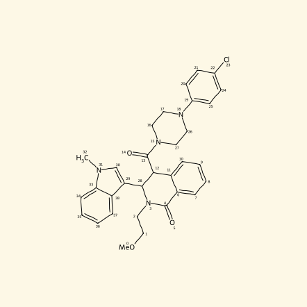 COCCN1C(=O)c2ccccc2C(C(=O)N2CCN(c3ccc(Cl)cc3)CC2)C1c1cn(C)c2ccccc12